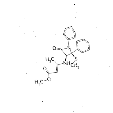 COC(=O)/C=C(\C)N[C@H]1C(=O)N(c2ccccc2)[C@]1(SC)c1ccccc1